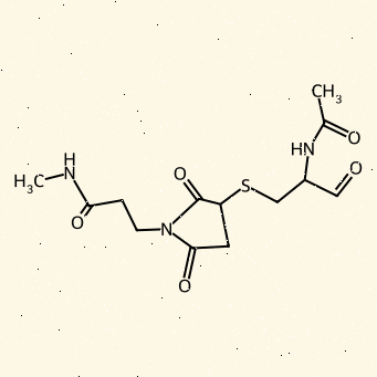 CNC(=O)CCN1C(=O)CC(SCC(C=O)NC(C)=O)C1=O